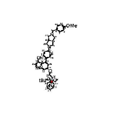 COc1ccc(CN2CC3CN(c4ccc(-c5cc(OCCN6CC7CC(C6)N7C(=O)OC(C)(C)C)cn6ncc(C#N)c56)cn4)CC3C2)cn1